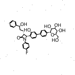 O=C1[C@H](CC[C@H](O)c2ccccc2)[C@@H](c2ccc(-c3ccc([C@@H]4O[C@H](CO)[C@@H](O)[C@H](O)[C@H]4O)cc3)cc2O)N1c1ccc(F)cc1